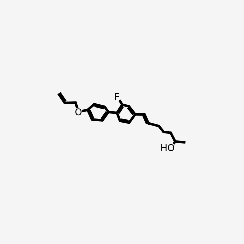 C=CCOc1ccc(-c2ccc(C=CCCCC(C)O)cc2F)cc1